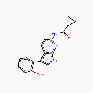 O=C(Nc1ccc2c(-c3ccccc3O)c[nH]c2n1)C1CC1